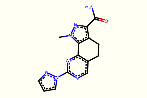 Cn1nc(C(N)=O)c2c1-c1nc(-n3cccn3)ncc1CC2